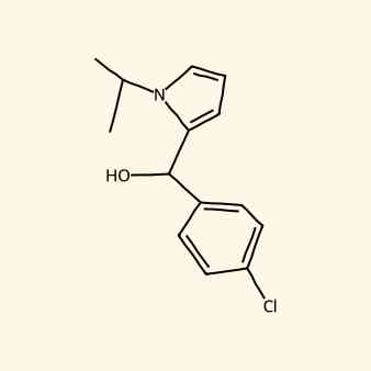 CC(C)n1cccc1C(O)c1ccc(Cl)cc1